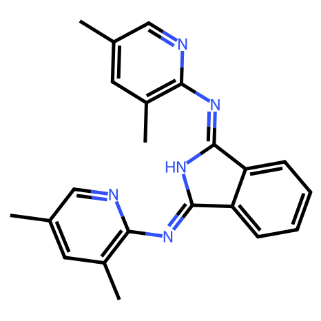 Cc1cnc(/N=C2\N/C(=N\c3ncc(C)cc3C)c3ccccc32)c(C)c1